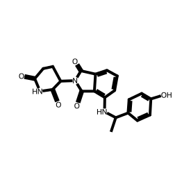 CC(Nc1cccc2c1C(=O)N(C1CCC(=O)NC1=O)C2=O)c1ccc(O)cc1